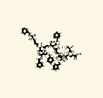 C[C@H](N)C(=O)N[C@@H](CCC(N)=O)C(=O)N[C@H](C(=O)NCC(=O)N[C@H](C(=O)NCC(=O)N[C@@H](CCCCNC(=O)OCc1ccccc1)C(=O)N[C@H](C(=O)OCc1ccccc1)[C@@H](C)OCc1ccccc1)[C@@H](C)OCc1ccccc1)[C@@H](C)OCc1ccccc1